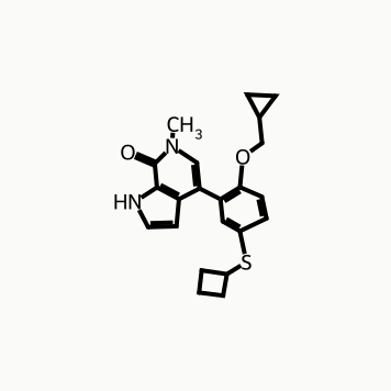 Cn1cc(-c2cc(SC3CCC3)ccc2OCC2CC2)c2cc[nH]c2c1=O